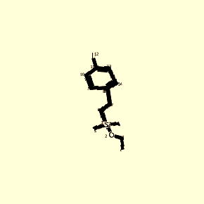 CCO[Si](C)(C)CCc1ccc(I)cc1